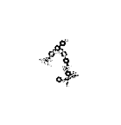 CC(C)(C)OC(=O)N1CCN(C[C@]2(C)CCC(c3ccc(Cl)cc3)=C(CN3CCN(c4ccc(C(=O)NS(=O)(=O)c5ccc(N[C@H](CCO)CSc6ccccc6)c(S(=O)(=O)C(F)(F)F)c5)cc4)CC3)C2)CC1